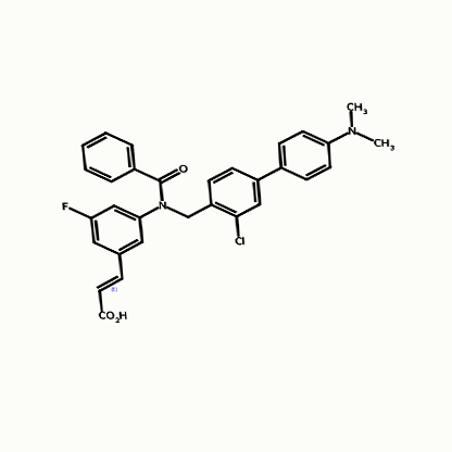 CN(C)c1ccc(-c2ccc(CN(C(=O)c3ccccc3)c3cc(F)cc(/C=C/C(=O)O)c3)c(Cl)c2)cc1